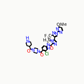 COc1ccnc(-n2cc(-c3cnc(C(=O)Nc4ccc(C(=O)N5CCN(C(=O)C6CCNCC6)CC5)c(Cl)c4)n3C)c(C(F)(F)F)n2)n1